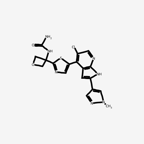 Cn1cc(-c2cc3c(-c4cnc(C5(NC(N)=O)COC5)s4)c(Cl)cnc3[nH]2)cn1